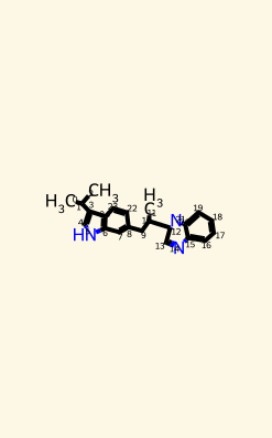 CC(C)c1c[nH]c2cc(CC(C)c3cnc4ccccc4n3)ccc12